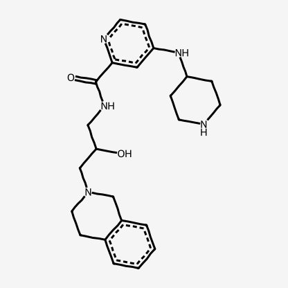 O=C(NCC(O)CN1CCc2ccccc2C1)c1cc(NC2CCNCC2)ccn1